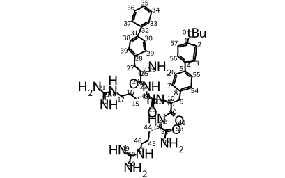 CC(C)(C)c1ccc(-c2ccc(C[C@H](NC(=O)[C@H](CCCNC(=N)N)NC(=O)[C@@H](N)Cc3ccc(-c4ccccc4)cc3)C(=O)N[C@@H](CCCNC(=N)N)C(N)=O)cc2)cc1